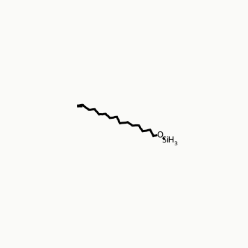 C=CCCCCCCCCCCCCCO[SiH3]